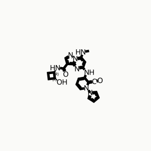 CNc1cc(NC2=CC=CN(n3cccc3)C2=C=O)nc2c(C(=O)N[C@@H]3CC[C@H]3O)cnn12